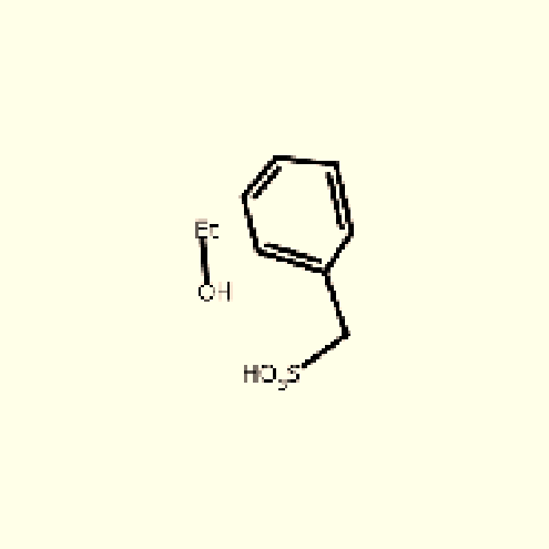 CCO.O=S(=O)(O)Cc1ccccc1